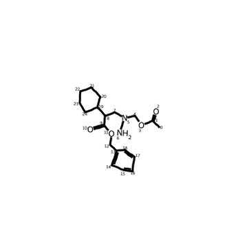 CC(=O)OCN(N)CC(C(=O)OCc1ccccc1)C1CCCCC1